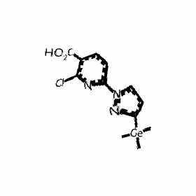 [CH3][Ge]([CH3])([CH3])[c]1ccn(-c2ccc(C(=O)O)c(Cl)n2)n1